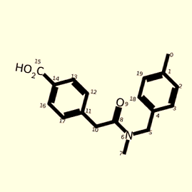 Cc1ccc(CN(C)C(=O)Cc2ccc(C(=O)O)cc2)cc1